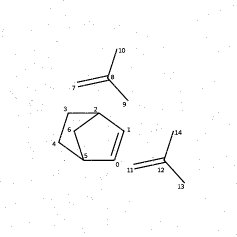 C1=CC2CCC1C2.C=C(C)C.C=C(C)C